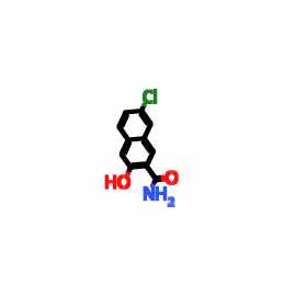 NC(=O)c1cc2cc(Cl)ccc2cc1O